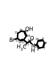 CC(C(=O)Nc1ccccc1)C1=CC(Br)CCC(O)=C1